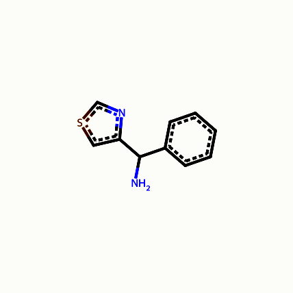 NC(c1ccccc1)c1cscn1